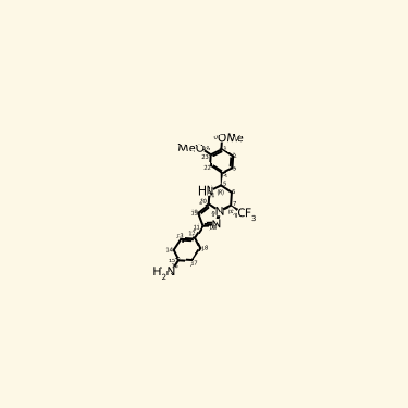 COc1ccc([C@H]2C[C@@H](C(F)(F)F)n3nc(C4=CCC(N)CC4)cc3N2)cc1OC